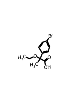 CCOC(C)(C(=O)O)c1ccc(Br)cc1